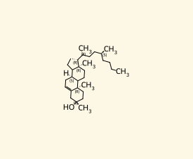 CCCC[C@H](C)CC[C@@H](C)[C@H]1CCC2[C@@H]3CC=C4C[C@@](C)(O)CC[C@]4(C)C3CC[C@@]21C